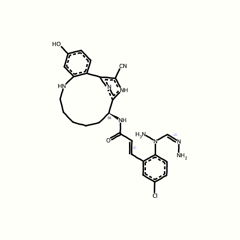 N#Cc1[nH]c2nc1-c1ccc(O)cc1NCCCCC[C@@H]2NC(=O)/C=C/c1cc(Cl)ccc1N(N)/C=N\N